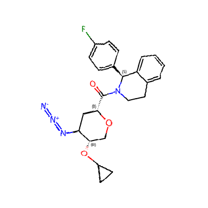 [N-]=[N+]=NC1C[C@H](C(=O)N2CCc3ccccc3[C@@H]2c2ccc(F)cc2)OC[C@@H]1OC1CC1